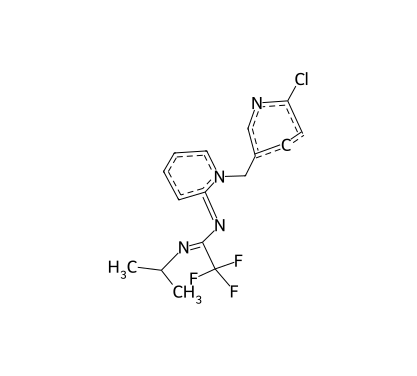 CC(C)N=C(N=c1ccccn1Cc1ccc(Cl)nc1)C(F)(F)F